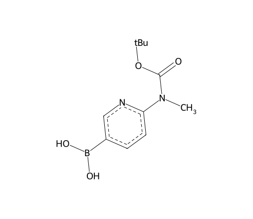 CN(C(=O)OC(C)(C)C)c1ccc(B(O)O)cn1